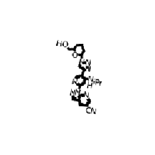 CC(C)Nc1cc(-n2ncc3cc(C#N)cnc32)ncc1-c1cn(C2CCCC(CO)O2)nn1